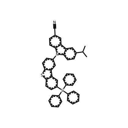 CC(C)c1ccc2c(c1)c1cc(C#N)ccc1n2-c1ccc2sc3ccc([Si](c4ccccc4)(c4ccccc4)c4ccccc4)cc3c2c1